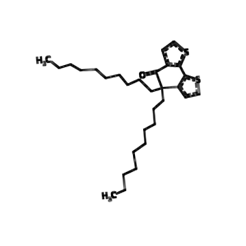 CCCCCCCCCCC1(CCCCCCCCCC)C(=O)c2ccsc2-c2sccc21